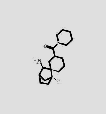 N[C@@H]1C2CC[C@@H](C2)[C@]12CCCC(C(=O)N1CCCCC1)C2